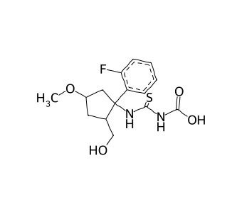 COC1CC(CO)C(NC(=S)NC(=O)O)(c2ccccc2F)C1